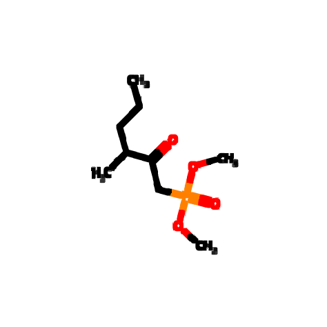 CCCC(C)C(=O)CP(=O)(OC)OC